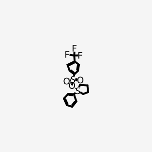 O=S(=O)(OS1(c2ccccc2)CCCC1)c1ccc(C(F)(F)F)cc1